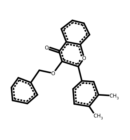 Cc1ccc(-c2oc3ccccc3c(=O)c2OCc2ccccc2)cc1C